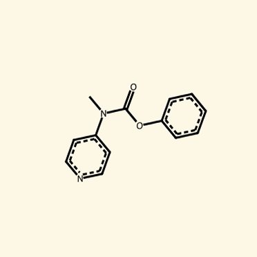 CN(C(=O)Oc1ccccc1)c1ccncc1